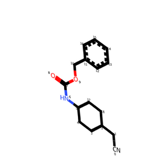 N#CCC1CCC(NC(=O)OCc2ccccc2)CC1